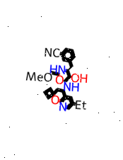 CCc1cnc2c(c1)[C@@H](NC[C@H](O)[C@H](Cc1cccc(C#N)c1)NC(=O)COC)CC1(CCC1)O2